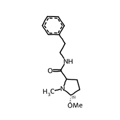 CO[C@H]1CCC(C(=O)NCCc2ccccc2)N1C